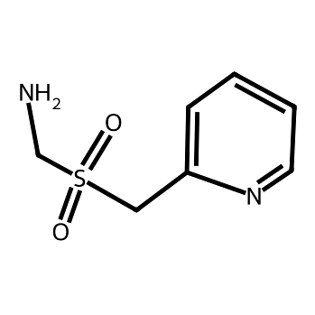 NCS(=O)(=O)Cc1ccccn1